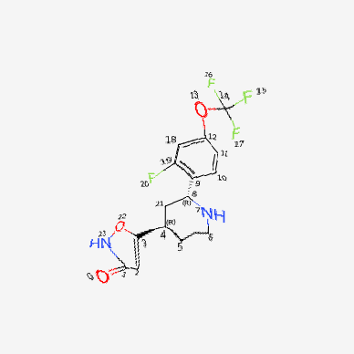 O=c1cc([C@@H]2CCN[C@@H](c3ccc(OC(F)(F)F)cc3F)C2)o[nH]1